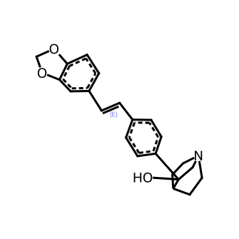 OC1(c2ccc(/C=C/c3ccc4c(c3)OCO4)cc2)CN2CCC1CC2